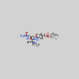 C=C(/C=C\C)OC(=O)OCc1ccc(NC(=O)[C@H](CCCNC(N)=O)NC(=O)[C@@H](NC(=O)O)C(C)C)cc1